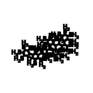 Bc1cc(B)c2c(-c3c4c(B)c(B)c(B)c(B)c4c(-c4c(B)c(B)c(-c5c(B)c(B)c6oc7c(B)c(B)c(B)c(B)c7c6c5B)c(B)c4B)c4c(B)c(B)c(B)c(B)c34)c(B)c3c(B)c(B)c(B)c(B)c3c2c1B